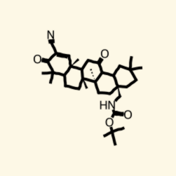 CC1(C)CC[C@]2(CNC(=O)OC(C)(C)C)CC[C@]3(C)C(C(=O)CC4[C@@]5(C)C=C(C#N)C(=O)C(C)(C)C5CC[C@]43C)C2C1